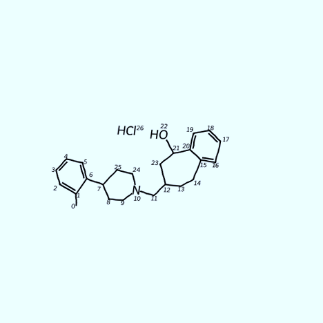 Cc1ccccc1C1CCN(CC2CCc3ccccc3C(O)C2)CC1.Cl